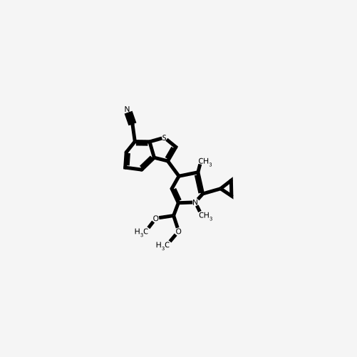 COC(OC)C1=CC(c2csc3c(C#N)cccc23)C(C)=C(C2CC2)N1C